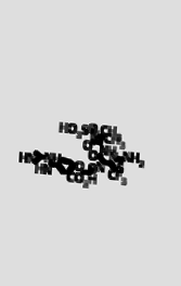 CC1(C)[C@H](NC(=O)/C(=N\OC(COc2ccc(C(=N)NC3CNC3)cc2)C(=O)O)c2nc(N)sc2C(F)(F)F)C(=O)N1OS(=O)(=O)O